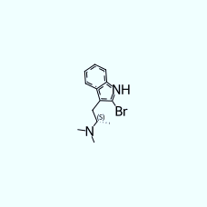 C[C@@H](Cc1c(Br)[nH]c2ccccc12)N(C)C